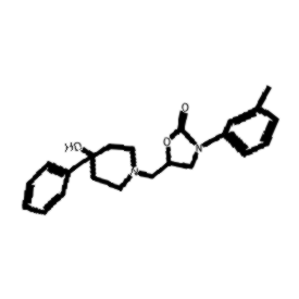 Cc1cccc(N2CC(CN3CCC(O)(c4ccccc4)CC3)OC2=O)c1